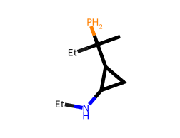 CCNC1CC1C(C)(P)CC